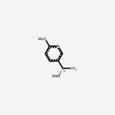 CN[C@@H](C)c1ccc(OC)nc1